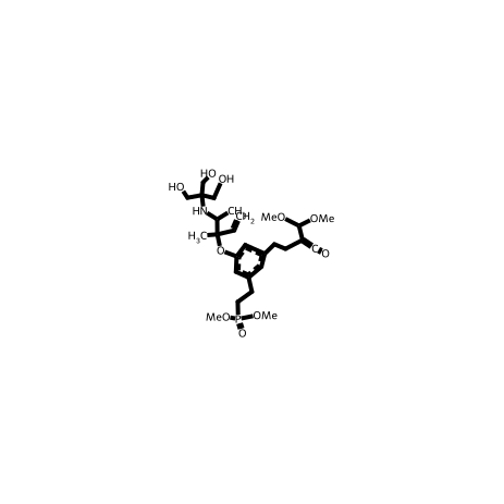 C=CC(C)(Oc1cc(CCC(=C=O)C(OC)OC)cc(CCP(=O)(OC)OC)c1)C(C)NC(CO)(CO)CO